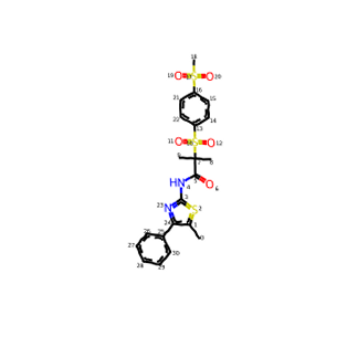 Cc1sc(NC(=O)C(C)(C)S(=O)(=O)c2ccc(S(C)(=O)=O)cc2)nc1-c1ccccc1